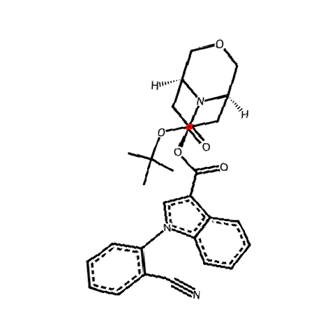 CC(C)(C)OC(=O)N1[C@@H]2COC[C@H]1C[C@@H](OC(=O)c1cn(-c3ccccc3C#N)c3ccccc13)C2